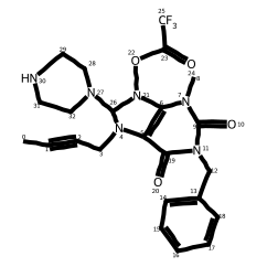 CC#CCN1c2c(n(C)c(=O)n(Cc3ccccc3)c2=O)N(OC(=O)C(F)(F)F)C1N1CCNCC1